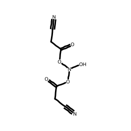 N#CCC(=O)ON(O)OC(=O)CC#N